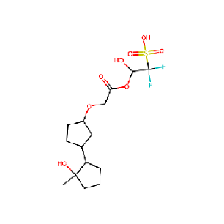 CC1(O)CCCC1C1CCC(OCC(=O)OC(O)C(F)(F)S(=O)(=O)O)C1